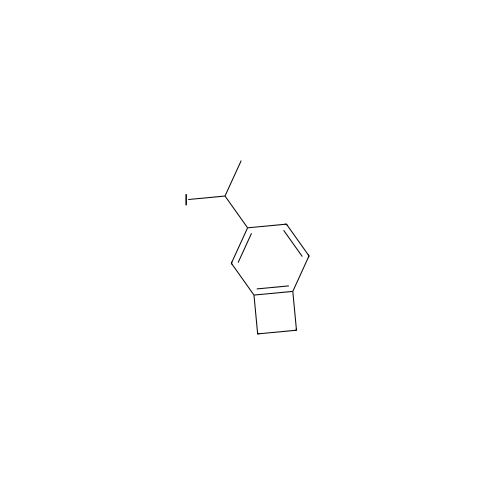 CC(I)c1ccc2c(c1)CC2